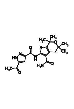 CC(=O)c1cc(C(=O)Nc2sc3c(c2C(N)=O)CC(C)(C)OC3(C)C)n[nH]1